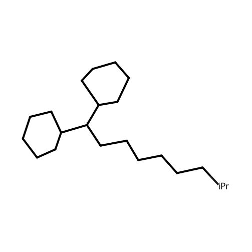 CC(C)CCCCCC[C](C1CCCCC1)C1CCCCC1